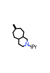 C=C1CCC2CCN(C(C)C)CC2CC1